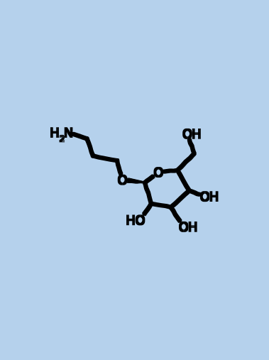 NCCCO[C@H]1OC(CO)C(O)C(O)C1O